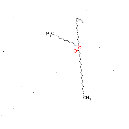 CCCCCCCCCCCCCCCCCC(=O)OC(CCCCCCCCC)CCCCCCCCCC